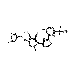 Cc1cc(COc2cc(C)n(-c3ccnc(-c4nc(C(C)(C)O)ncc4C)c3)c(=O)c2Cl)cs1